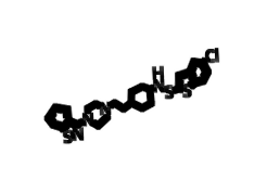 Clc1ccc2sc(SNC3CCC(CCN4CCN(c5nsc6ccccc56)CC4)CC3)cc2c1